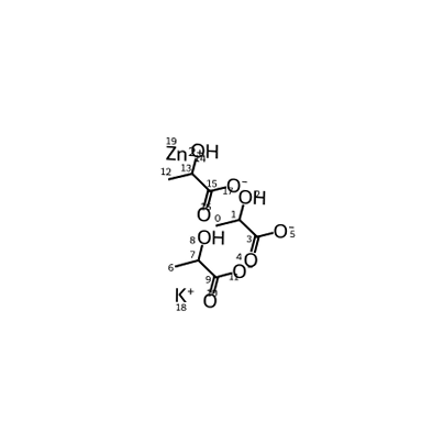 CC(O)C(=O)[O-].CC(O)C(=O)[O-].CC(O)C(=O)[O-].[K+].[Zn+2]